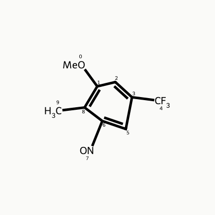 COc1cc(C(F)(F)F)cc(N=O)c1C